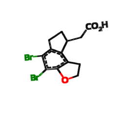 O=C(O)CC1CCc2c(Br)c(Br)c3c(c21)CCO3